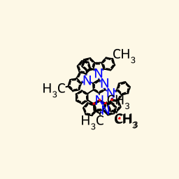 Cc1ccc2c(c1)c1ccccc1n2-c1nc(-n2c3ccccc3c3cc(C)ccc32)c(-n2c3ccccc3c3cc(C)ccc32)c(-c2ccccc2-c2cc(C)nc(C)c2)c1-n1c2ccccc2c2cc(C)ccc21